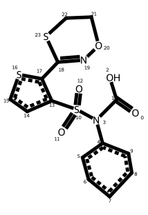 O=C(O)N(c1ccccc1)S(=O)(=O)c1ccsc1C1=NOCCS1